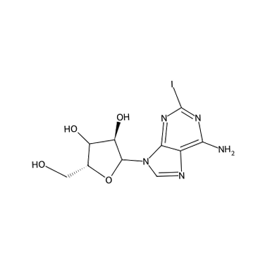 Nc1nc(I)nc2c1ncn2C1O[C@H](CO)C(O)[C@H]1O